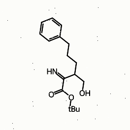 CC(C)(C)OC(=O)C(=N)C(CO)CCCc1ccccc1